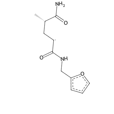 C[C@@H](C[CH]C(=O)NCc1ccco1)C(N)=O